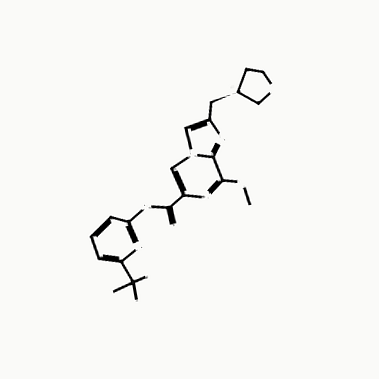 COc1nc(C(=O)Nc2cccc(C(F)(F)F)n2)cn2cc(C[C@H]3CCOC3)nc12